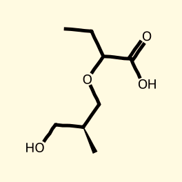 CCC(OC[C@@H](C)CO)C(=O)O